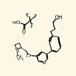 CN1CC[C@H]1COc1cncc(-c2cccc(CCCO)c2)c1.O=C(O)C(F)(F)F